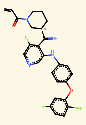 C=CC(=O)N1CCC[C@@H](C(=N)c2c(F)cncc2Nc2ccc(Oc3cc(F)ccc3F)cc2)C1